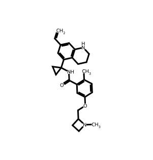 C=Cc1cc2c(c(C3(NC(=O)c4cc(OCC5CCN5C)ccc4C)CC3)c1)CCCN2